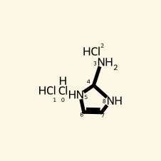 Cl.Cl.Cl.NC1NC=CN1